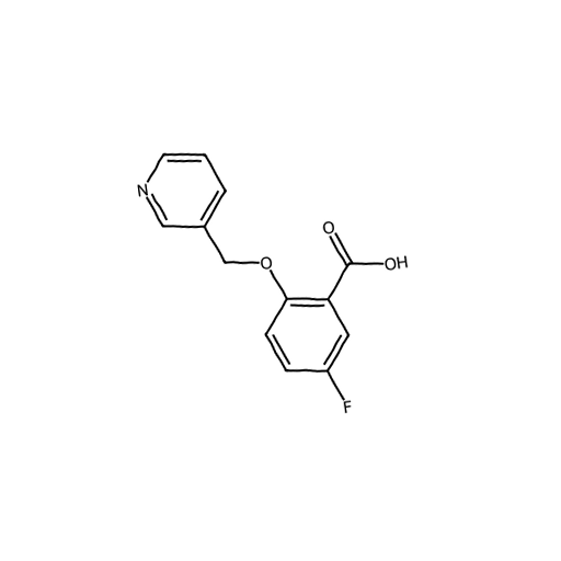 O=C(O)c1cc(F)ccc1OCc1cccnc1